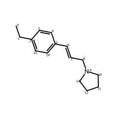 CCc1ccc(/C=C/CN2CCCC2)cc1